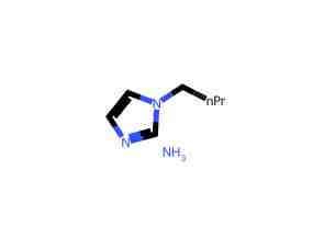 CCCCn1ccnc1.N